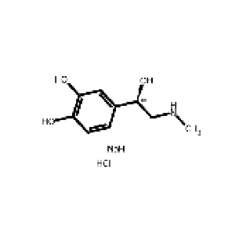 CNC[C@H](O)c1ccc(O)c(O)c1.Cl.[NaH]